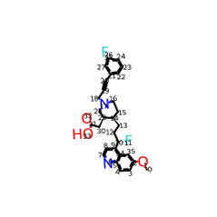 COc1ccc2nccc([C@@H](F)CC[C@@H]3CCN(CC#Cc4cccc(F)c4)C[C@@H]3CC(=O)O)c2c1